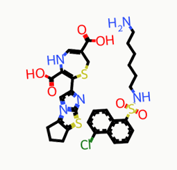 NCCCCCCNS(=O)(=O)c1cccc2c(Cl)cccc12.O=C(O)C1=CNC(C(=O)O)=C(c2cn3c4c(sc3n2)CCC4)SC1